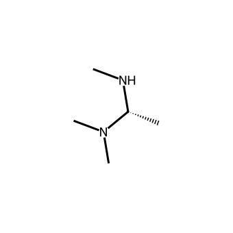 CN[C@H](C)N(C)C